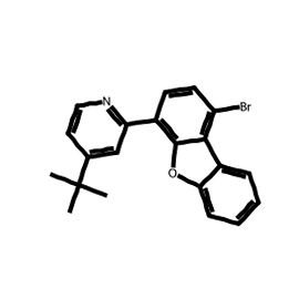 CC(C)(C)c1ccnc(-c2ccc(Br)c3c2oc2ccccc23)c1